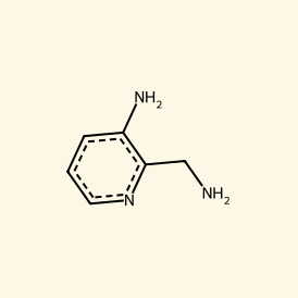 NCc1ncccc1N